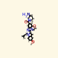 COc1ccc2c(c1)cc(-c1nc3cc(C(=O)N4CCC[C@@H](N)C4)cc4c3n1CCO4)n2CC1CC1